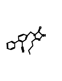 CCCCc1n[nH]c(=O)n1Cc1ccc(-c2ccccc2)c(C#N)c1